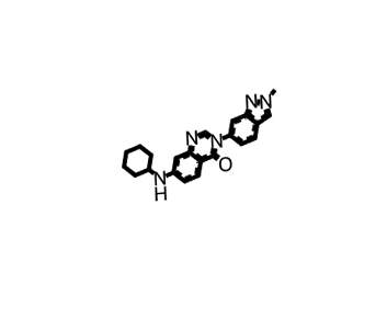 Cn1cc2ccc(-n3cnc4cc(NC5CCCCC5)ccc4c3=O)cc2n1